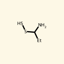 CCC(N)SS